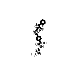 CS(=O)(=O)CCNC(=O)C(O)c1ccc(-c2noc(-c3onc(-c4ccccc4)c3C(F)(F)F)n2)cc1